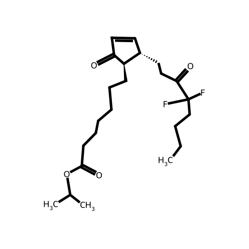 CCCCC(F)(F)C(=O)CC[C@H]1C=CC(=O)[C@@H]1CCCCCCC(=O)OC(C)C